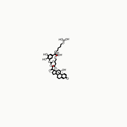 C[C@H]1CC2C3CCC4=CC(=O)C=C[C@]4(C)[C@@]3(Cl)[C@@H](O)C[C@]2(C)[C@@]1(OC(=O)CCCON(O)O)C(=O)COC(=O)Oc1cc(C(=O)OCCCCON(O)O)cc(O)c1O